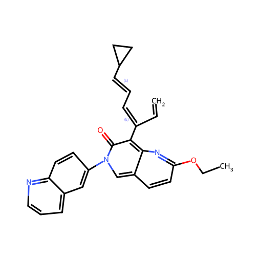 C=C/C(=C\C=C\C1CC1)c1c(=O)n(-c2ccc3ncccc3c2)cc2ccc(OCC)nc12